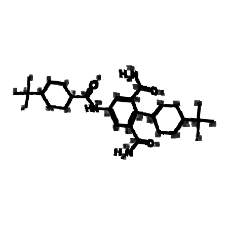 CC(C)(C)C1CCC(C(=O)Nc2cc(C(N)=O)c(C3CCC(C(C)(C)C)CC3)c(C(N)=O)c2)CC1